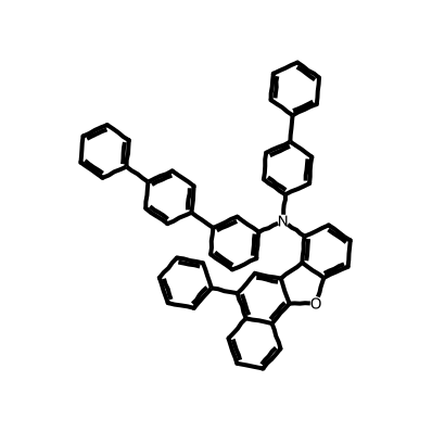 c1ccc(-c2ccc(-c3cccc(N(c4ccc(-c5ccccc5)cc4)c4cccc5oc6c7ccccc7c(-c7ccccc7)cc6c45)c3)cc2)cc1